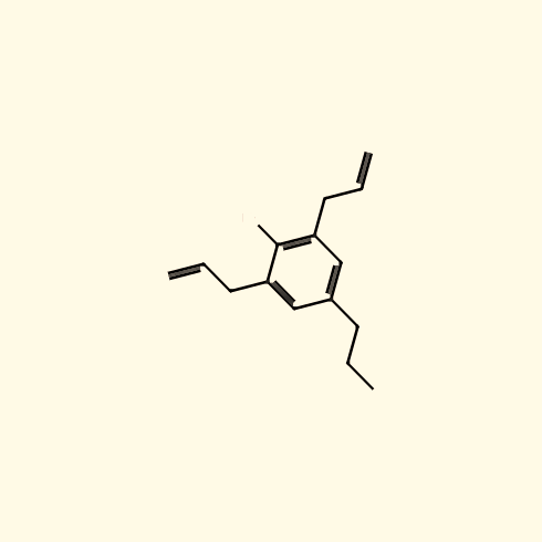 C=CCc1cc(CCC)cc(CC=C)c1O